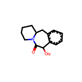 O=C1C(O)c2ccccc2CC2CCCCN12